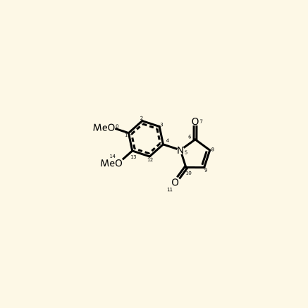 COc1ccc(N2C(=O)C=CC2=O)cc1OC